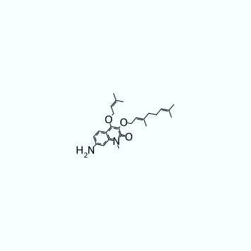 CC(C)=CCC/C(C)=C/COc1c(OCC=C(C)C)c2ccc(N)cc2n(C)c1=O